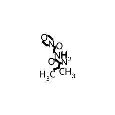 CCC(C)C(N)C(=O)NCC(=O)N1CCOCC1